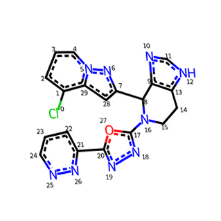 Clc1cccn2nc(C3c4nc[nH]c4CCN3c3nnc(-c4cccnn4)o3)cc12